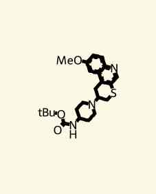 COc1ccc2ncc3c(c2c1)CC(N1CCC(NC(=O)OC(C)(C)C)CC1)CS3